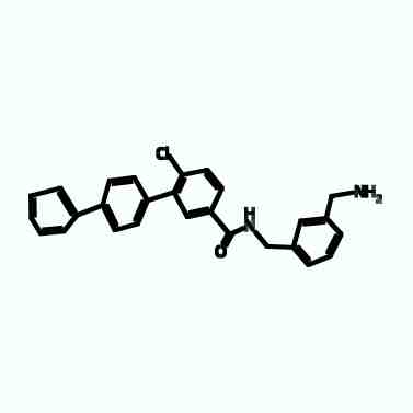 NCc1cccc(CNC(=O)c2ccc(Cl)c(-c3ccc(-c4ccccc4)cc3)c2)c1